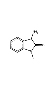 CN1C(=O)C(N)c2ccccc21